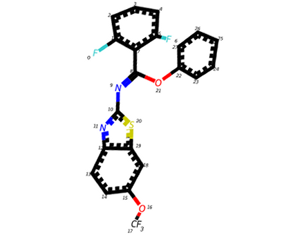 Fc1cccc(F)c1C(=Nc1nc2ccc(OC(F)(F)F)cc2s1)Oc1ccccc1